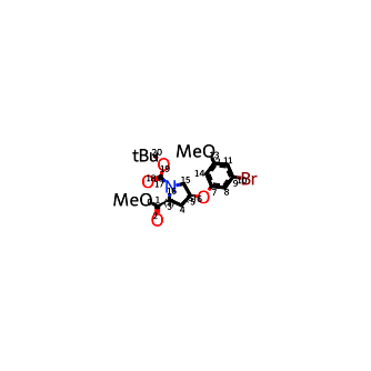 COC(=O)[C@@H]1C[C@H](Oc2cc(Br)cc(OC)c2)CN1C(=O)OC(C)(C)C